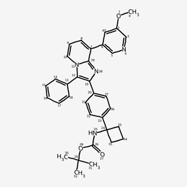 COc1cncc(-c2cccn3c(-c4ccccc4)c(-c4ccc(C5(NC(=O)OC(C)(C)C)CCC5)cc4)nc23)c1